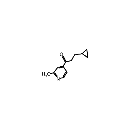 Cc1cc(C(=O)CCC2CC2)ccn1